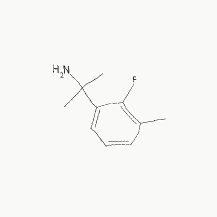 Cc1cccc(C(C)(C)N)c1F